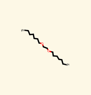 CC(C)CCCCCCOCCOCCCCCCC(C)C